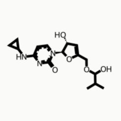 CC(C)C(O)OCC1=C[C@@H](O)[C@H](n2ccc(NC3CC3)nc2=O)O1